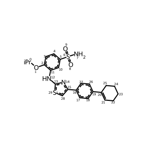 CC(C)Oc1ccc(S(N)(=O)=O)cc1Nc1nc(-c2ccc(C3=CCCCC3)cc2)cs1